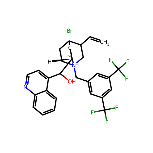 C=CC1C[N+]2(Cc3cc(C(F)(F)F)cc(C(F)(F)F)c3)CCC1C[C@H]2C(O)c1ccnc2ccccc12.[Br-]